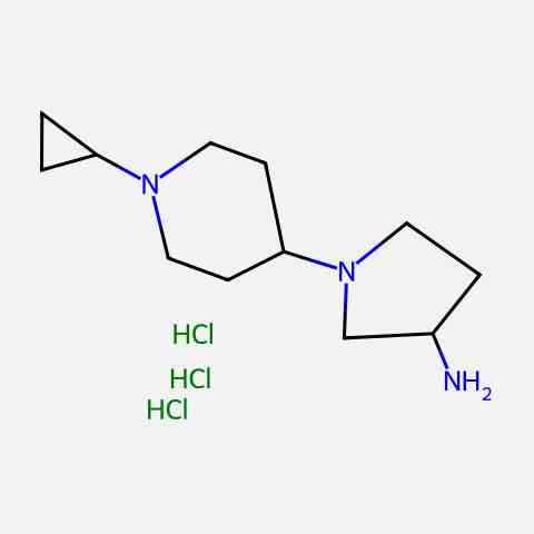 Cl.Cl.Cl.NC1CCN(C2CCN(C3CC3)CC2)C1